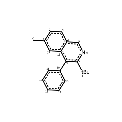 Cc1ccc2cnc(C(C)(C)C)c(-c3ccccc3)c2c1